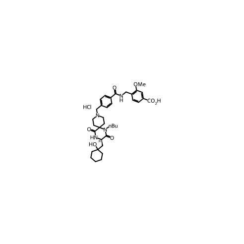 CCCCN1C(=O)[C@@H](CC2(O)CCCCC2)NC(=O)C12CCN(Cc1ccc(C(=O)NCc3ccc(C(=O)O)cc3OC)cc1)CC2.Cl